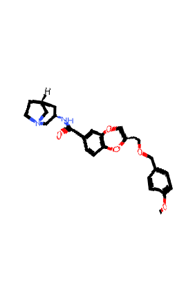 COc1ccc(COC[C@@H]2COc3cc(C(=O)N[C@@H]4C[C@H]5CCN(C5)C4)ccc3O2)cc1